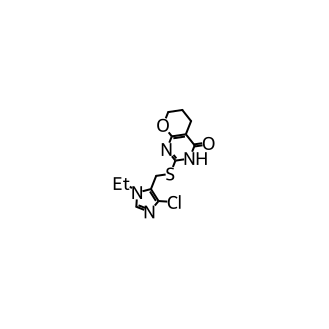 CCn1cnc(Cl)c1CSc1nc2c(c(=O)[nH]1)CCCO2